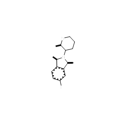 O=C1NCCCC1N1C(=O)c2ccc(F)cc2C1=O